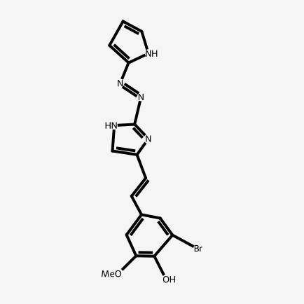 COc1cc(/C=C/c2c[nH]c(/N=N/c3ccc[nH]3)n2)cc(Br)c1O